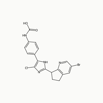 O=C(O)Nc1ccc(-c2[nH]c(C3CCc4cc(Br)cnc43)nc2Cl)cc1